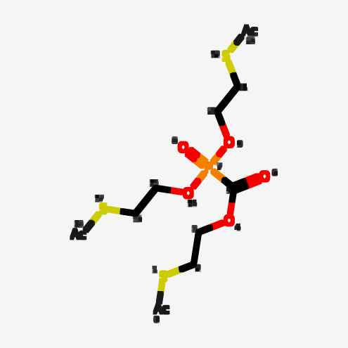 CC(=O)SCCOC(=O)P(=O)(OCCSC(C)=O)OCCSC(C)=O